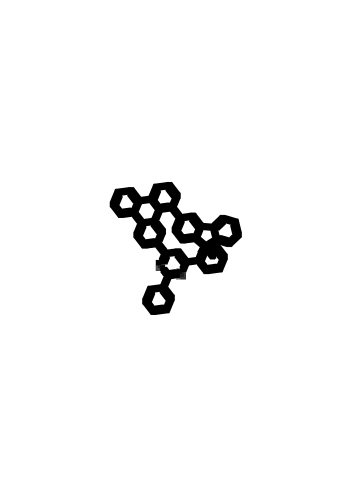 CC1(C)c2ccccc2-c2cc(-c3cccc4c5ccccc5c5ccc(-c6cc(-c7ccccc7)nc(-c7ccccc7)n6)cc5c34)ccc21